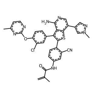 C=C(C)C(=O)Nc1ccc(-c2sc3c(-c4cnn(C)c4)cnc(N)c3c2-c2ccc(Oc3nccc(C)n3)c(Cl)c2)c(C#N)c1